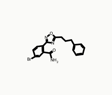 NC(=O)c1cc(Br)ccc1-c1noc([CH]CCc2ccccc2)n1